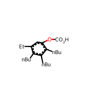 CCCCc1c(CC)cc(OC(=O)O)c(CCCC)c1CCCC